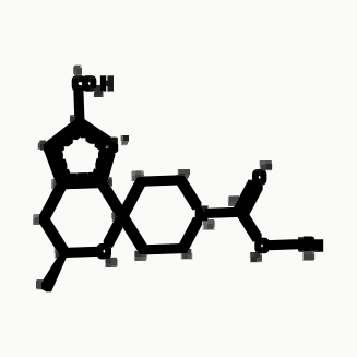 C[C@H]1Cc2cc(C(=O)O)sc2C2(CCN(C(=O)OC(C)(C)C)CC2)O1